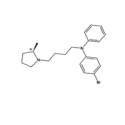 C[C@@H]1CCCN1CCCCN(c1ccccc1)c1ccc(Br)cc1